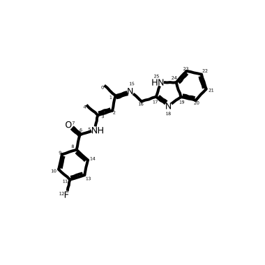 CC(/C=C(\C)NC(=O)c1ccc(F)cc1)=N/Cc1nc2ccccc2[nH]1